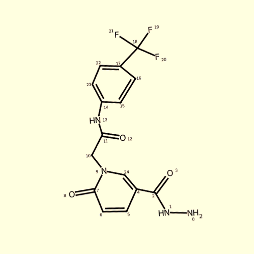 NNC(=O)c1ccc(=O)n(CC(=O)Nc2ccc(C(F)(F)F)cc2)c1